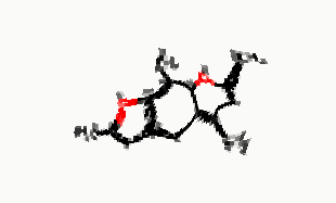 C=C1CC(C)C2C=c3cc(C)oc3=C(C)C2O1